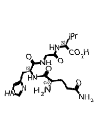 CC(C)[C@H](NC(=O)CNC(=O)[C@H](Cc1c[nH]cn1)NC(=O)[C@@H](N)CCC(N)=O)C(=O)O